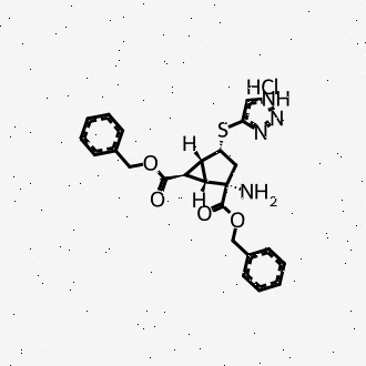 Cl.N[C@@]1(C(=O)OCc2ccccc2)C[C@@H](Sc2c[nH]nn2)[C@H]2[C@H](C(=O)OCc3ccccc3)[C@H]21